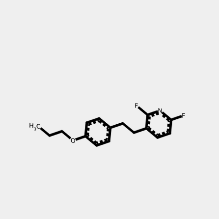 CCCOc1ccc(CCc2ccc(F)nc2F)cc1